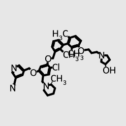 Cc1ccc(OCCCN2CC[C@@H](O)C2)c(C)c1-c1cccc(COc2cc(OCc3cncc(C#N)c3)c(CN3CCCC[C@H]3C)cc2Cl)c1C